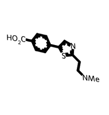 CNCCc1ncc(-c2ccc(C(=O)O)cc2)s1